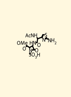 COC(=O)C1C(NC(=O)C(NC(C)=O)c2csc(N)n2)C(=O)N1S(=O)(=O)O